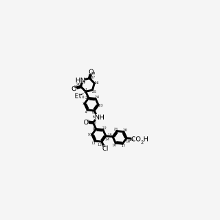 CC[C@@]1(c2ccc(NC(=O)c3ccc(Cl)c(-c4ccc(C(=O)O)cc4)c3)cc2)CCC(=O)NC1=O